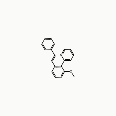 COc1cccc(/C=C/c2ccccc2)c1-c1ccccn1